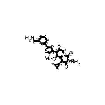 COc1c(-c2csc(-c3cccc(CN)n3)c2)c(F)cn2c(=O)n(N)c(=O)c(C3CC3)c12